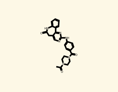 CC(=O)N1CCN(C(=O)c2ccc(Nc3ncc4c(n3)-c3ccccc3NC(=O)C4)cc2)CC1